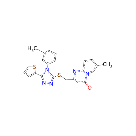 Cc1cccc(-n2c(SCc3cc(=O)n4cc(C)ccc4n3)nnc2-c2cccs2)c1